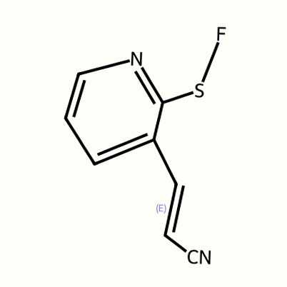 N#C/C=C/c1cccnc1SF